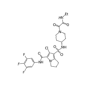 CCNC(=O)C(=O)N1CCC(NS(=O)(=O)c2c(Cl)c(C(=O)Nc3cc(F)c(F)c(F)c3)n3c2CCC3)CC1